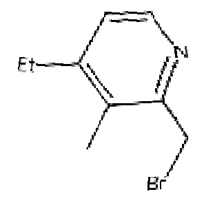 CCc1ccnc(CBr)c1C